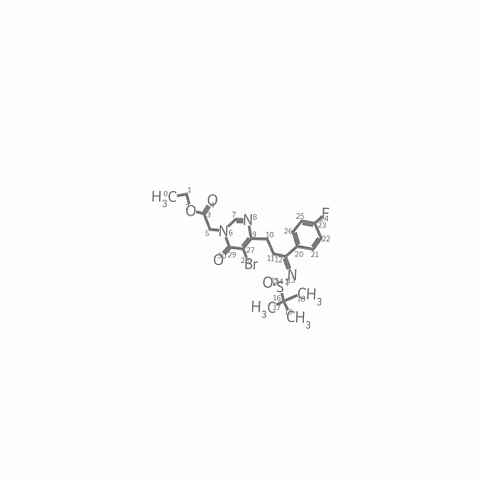 CCOC(=O)Cn1cnc(CC/C(=N\[S@+]([O-])C(C)(C)C)c2ccc(F)cc2)c(Br)c1=O